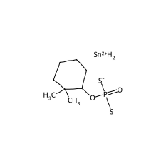 CC1(C)CCCCC1OP(=O)([S-])[S-].[SnH2+2]